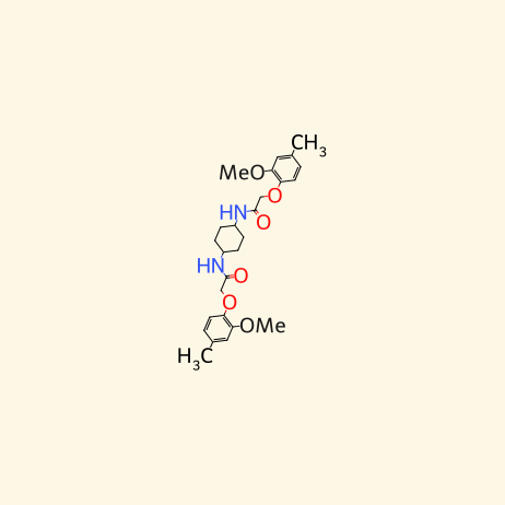 COc1cc(C)ccc1OCC(=O)NC1CCC(NC(=O)COc2ccc(C)cc2OC)CC1